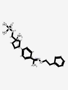 C/C(=N\OCCc1ccccc1)c1ccc([C@@H]2CC[C@](N)(COP(=O)(O)O)C2)cc1